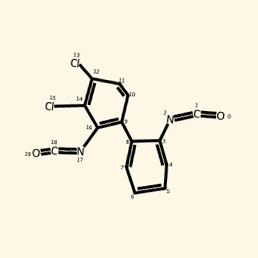 O=C=Nc1ccccc1-c1ccc(Cl)c(Cl)c1N=C=O